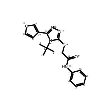 CC(C)(C)n1c(SCC(=O)Nc2ccccc2)nnc1-c1ccoc1